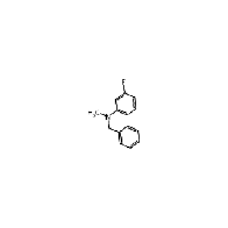 CN(Cc1ccccc1)c1cccc(F)c1